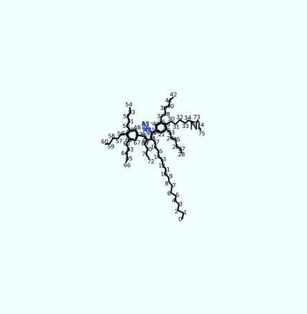 CCCCCCCCCCCCCCCCCCC1=C(c2cc(CCCCCC)c(CCCCCC)c(CCCCCC)c2)[N+](=[N-])C(c2cc(CCCCC)c(CCCCC)c(CCCCC)c2)=C1CCCC.[CH3][Ni][CH3]